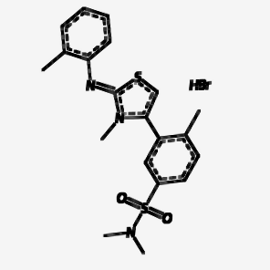 Br.Cc1ccccc1N=c1scc(-c2cc(S(=O)(=O)N(C)C)ccc2C)n1C